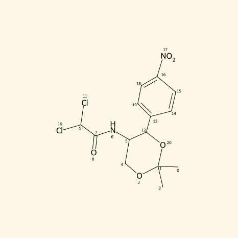 CC1(C)OCC(NC(=O)C(Cl)Cl)C(c2ccc([N+](=O)[O-])cc2)O1